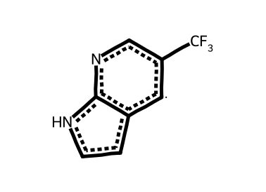 FC(F)(F)c1[c]c2cc[nH]c2nc1